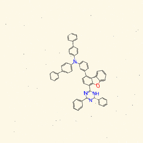 c1ccc(C2=NC(c3ccccc3)NC(c3ccc(-c4cccc(N(c5ccc(-c6ccccc6)cc5)c5ccc(-c6ccccc6)cc5)c4)c4c3oc3ccccc34)=N2)cc1